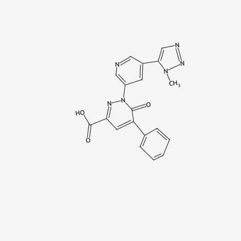 Cn1nncc1-c1cncc(-n2nc(C(=O)O)cc(-c3ccccc3)c2=O)c1